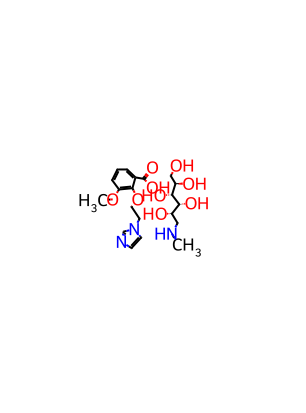 CNC[C@H](O)[C@@H](O)[C@H](O)[C@H](O)CO.COc1cccc(C(=O)O)c1OCCn1ccnc1